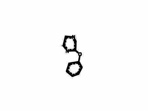 [c]1cncc(Oc2ccccc2)n1